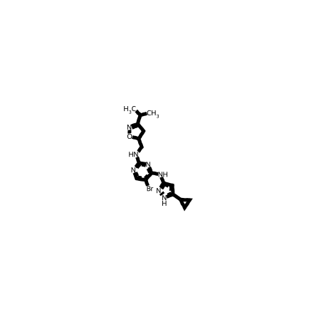 CC(C)C1=NOC(CNc2ncc(Br)c(Nc3cc(C4CC4)[nH]n3)n2)C1